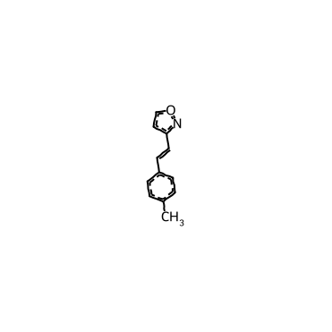 Cc1ccc(C=Cc2ccon2)cc1